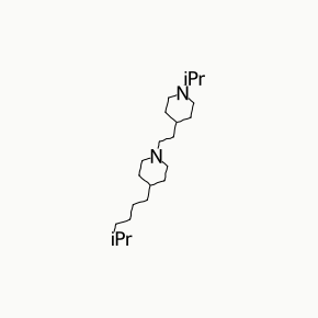 CC(C)CCCCC1CCN(CCC2CCN(C(C)C)CC2)CC1